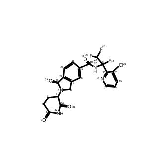 O=C1CCC(N2Cc3cc(C(=O)NC(F)(c4ncccc4Cl)C(F)F)ccc3C2=O)C(=O)N1